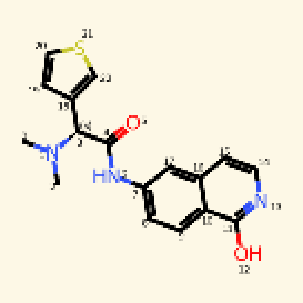 CN(C)[C@H](C(=O)Nc1ccc2c(O)nccc2c1)c1ccsc1